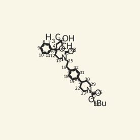 CC(C)(O)C[C@]1(c2ccccc2)CCN(CCc2ccc(C3CCN(C(=O)OC(C)(C)C)CC3)cc2)C(=O)O1